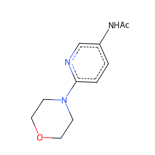 CC(=O)Nc1ccc(N2CCOCC2)nc1